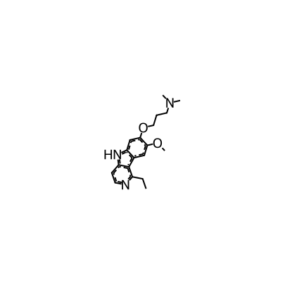 CCc1nccc2[nH]c3cc(OCCCN(C)C)c(OC)cc3c12